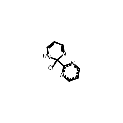 ClC1(c2ncccn2)N=CC=CN1